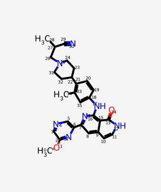 COc1cncc(-c2cc3cc[nH]c(=O)c3c(Nc3ccc(C4CCN(CC(C)C#N)CC4)c(C)c3)n2)n1